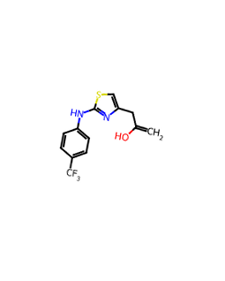 C=C(O)Cc1csc(Nc2ccc(C(F)(F)F)cc2)n1